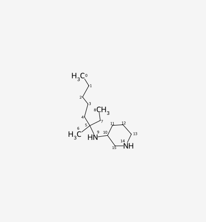 CCCCCC(C)(CC)NC1CCCNC1